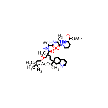 COC(=O)[C@@H]1CCCN(C(=O)[C@H](C)NC(=O)[C@@H](NC(=O)[C@@](C)(C=CC2([C@@H](C)OC(C)=O)C=c3ncccc3=CC2)COCC[Si](C)(C)C)C(C)C)N1